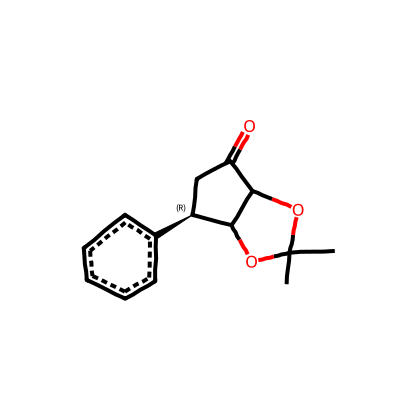 CC1(C)OC2C(=O)C[C@H](c3ccccc3)C2O1